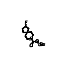 CC(C)(C)OC(=O)N1CCC2(CCC(F)C2)CC1